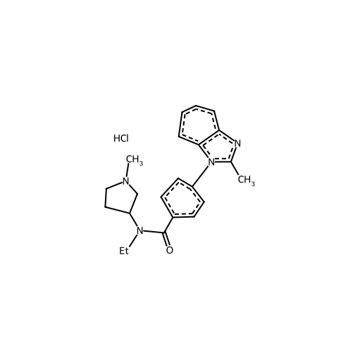 CCN(C(=O)c1ccc(-n2c(C)nc3ccccc32)cc1)C1CCN(C)C1.Cl